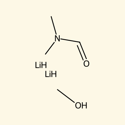 CN(C)C=O.CO.[LiH].[LiH]